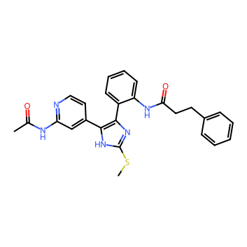 CSc1nc(-c2ccccc2NC(=O)CCc2ccccc2)c(-c2ccnc(NC(C)=O)c2)[nH]1